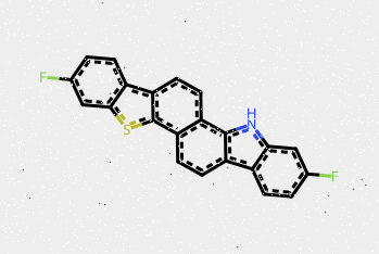 Fc1ccc2c(c1)[nH]c1c2ccc2c1ccc1c3ccc(F)cc3sc12